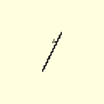 CCCCCC=CCC=CCCCCCCCC(CCCCCC)N(C)C